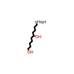 CCCCCCCCCCCC(O)CCCCCO